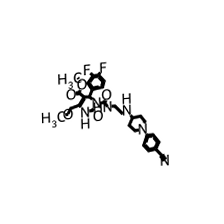 COCC1=C(C(=O)OC)C(c2ccc(F)c(F)c2)N(C(=O)NCCNC2CCN(c3ccc(C#N)cc3)CC2)C(=O)N1